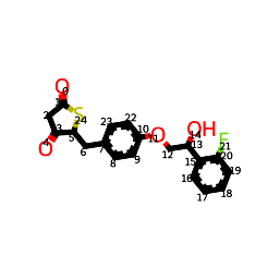 O=C1CC(=O)C(Cc2ccc(OCC(O)c3ccccc3F)cc2)S1